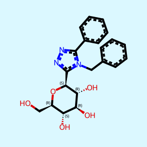 OC[C@H]1O[C@@H](c2nnc(-c3ccccc3)n2Cc2ccccc2)[C@H](O)[C@@H](O)[C@@H]1O